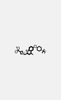 COC(=O)C1CN(Cc2cc(C)c3cc(O[C@H]4CC[C@H](C(C)(C)F)CC4)ccc3n2)C1